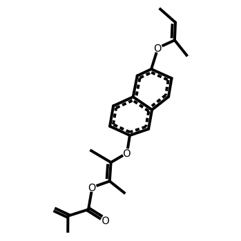 C=C(C)C(=O)O/C(C)=C(\C)Oc1ccc2cc(O/C(C)=C\C)ccc2c1